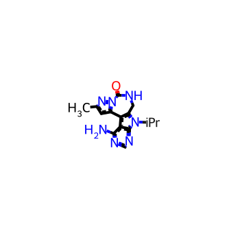 Cc1cc2n(n1)C(=O)NCc1c-2c2c(N)ncnc2n1C(C)C